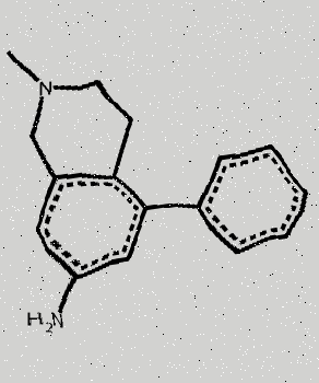 CN1CCc2c(cc(N)cc2-c2ccccc2)C1